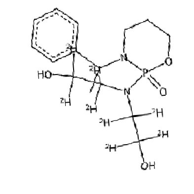 [2H]C([2H])(O)C([2H])([2H])N(C([2H])([2H])C([2H])([2H])O)P1(=O)OCCCN1C(C)c1ccccc1